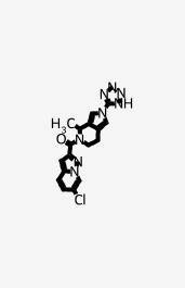 CC1c2cn(-c3nnn[nH]3)cc2CCN1C(=O)c1cc2ccc(Cl)cn2n1